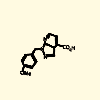 COc1ccc(CN2N=CC3C(C(=O)O)=CC=NC32)cc1